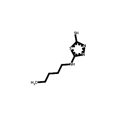 CCCCCNc1nnc(S)s1